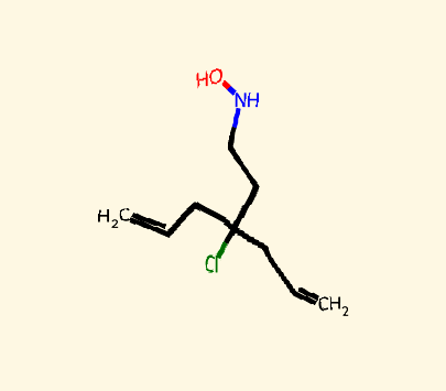 C=CCC(Cl)(CC=C)CCNO